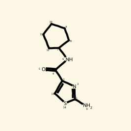 Nc1nc(C(=O)NC2CCCCC2)cs1